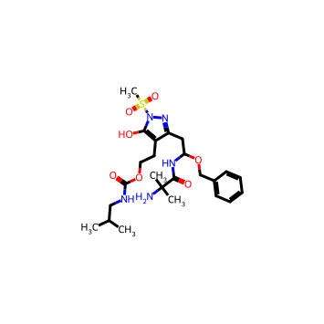 CC(C)CNC(=O)OCCc1c(CC(NC(=O)C(C)(C)N)OCc2ccccc2)nn(S(C)(=O)=O)c1O